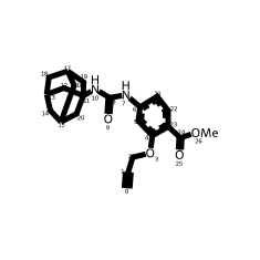 C#CCOc1cc(NC(=O)NC23CC4CC(CC(C4)C2)C3)ccc1C(=O)OC